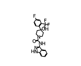 O=C(Nc1n[nH]c2ccccc12)N1CCC(O)(c2ccc(F)cc2C(F)(F)F)CC1